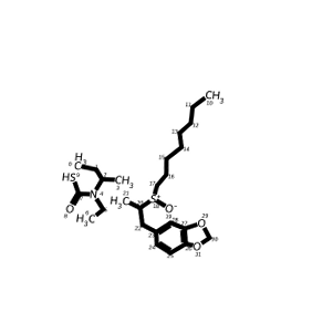 CCC(C)N(CC)C(=O)S.CCCCCCCC[S+]([O-])C(C)Cc1ccc2c(c1)OCO2